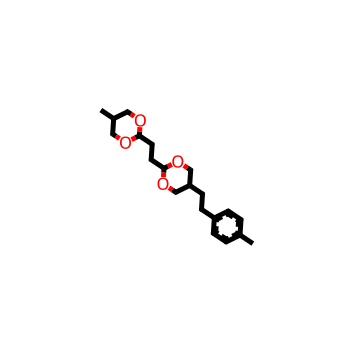 Cc1ccc(CCC2COC(CCC3OCC(C)CO3)OC2)cc1